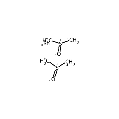 CS(C)=O.CS(C)=O.[Rh]